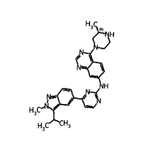 CC(C)c1c2cc(-c3ccnc(Nc4ccc5c(N6CCN[C@H](C)C6)ncnc5c4)n3)ccc2nn1C